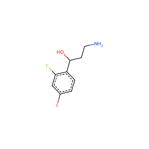 NCCC(O)c1ccc(I)cc1F